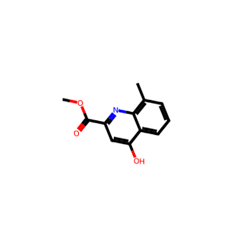 COC(=O)c1cc(O)c2cccc(C)c2n1